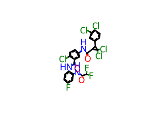 O=C(Nc1ccc(F)cc1NC(=O)C(F)F)c1cc(NC(=O)C2C(c3ccc(Cl)c(Cl)c3)C2(Cl)Cl)ccc1Cl